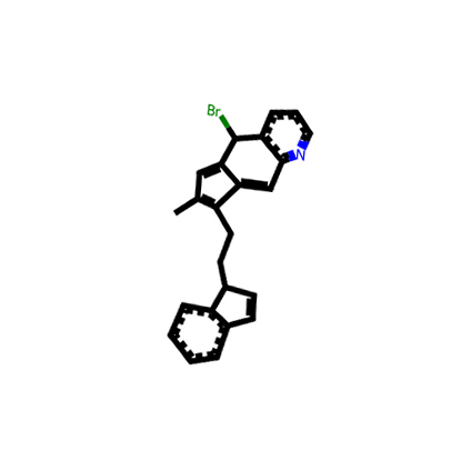 CC1=C(CCC2C=Cc3ccccc32)C2=Cc3ncccc3C(Br)C2=C1